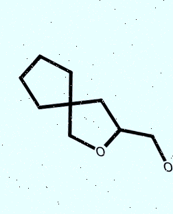 OCC1CC2(CCCC2)CO1